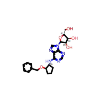 OC[C@H]1OC(n2cnc3c(N[C@@H]4CCCC4OCc4ccccc4)ncnc32)[C@H](O)[C@@H]1O